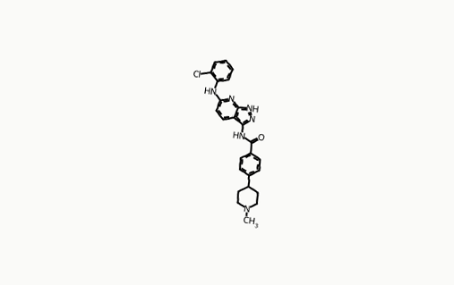 CN1CCC(c2ccc(C(=O)Nc3n[nH]c4nc(Nc5ccccc5Cl)ccc34)cc2)CC1